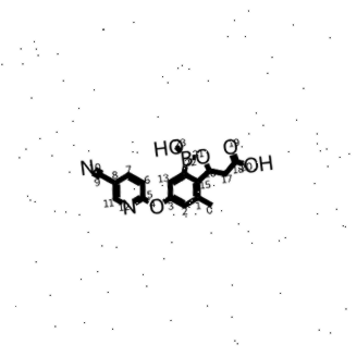 Cc1cc(Oc2ccc(C#N)cn2)cc2c1C(CC(=O)O)OB2O